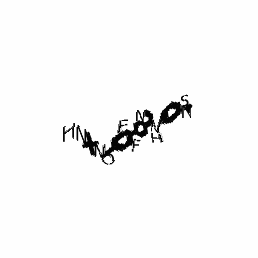 O=C(c1cc(F)c(-c2ccc3c(Nc4ccc5scnc5c4)ccnc3c2)c(F)c1)N1CC2(CNC2)C1